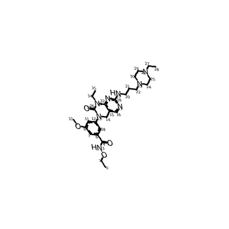 CCONC(=O)c1cc(OC)cc(N2Cc3cnc(NCCCN4CCN(CC)CC4)nc3N(CC)C2=O)c1